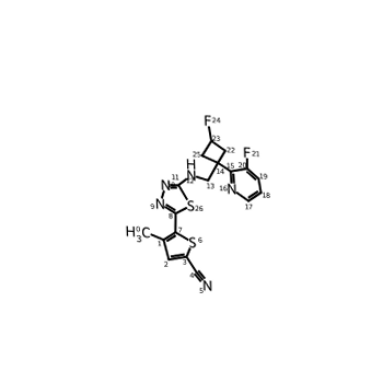 Cc1cc(C#N)sc1-c1nnc(NCC2(c3ncccc3F)CC(F)C2)s1